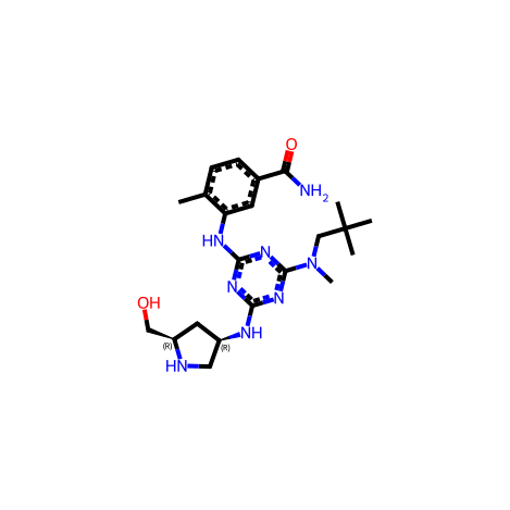 Cc1ccc(C(N)=O)cc1Nc1nc(N[C@H]2CN[C@@H](CO)C2)nc(N(C)CC(C)(C)C)n1